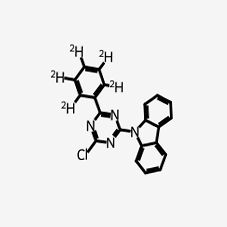 [2H]c1c([2H])c([2H])c(-c2nc(Cl)nc(-n3c4ccccc4c4ccccc43)n2)c([2H])c1[2H]